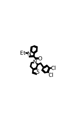 CCn1cc(C(=O)N2CCc3ccsc3C2Cc2ccc(Cl)c(Cl)c2)c2ccccc21